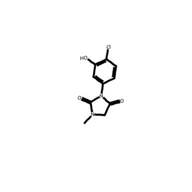 CN1CC(=O)N(c2ccc(Cl)c(O)c2)C1=O